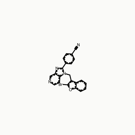 N#Cc1ccc(-c2nc3cnccc3n2Cc2c(Br)oc3ccccc23)cc1